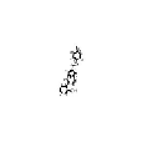 Oc1ccccc1-c1cnc2nc(COc3ccc(F)cc3)cn2c1